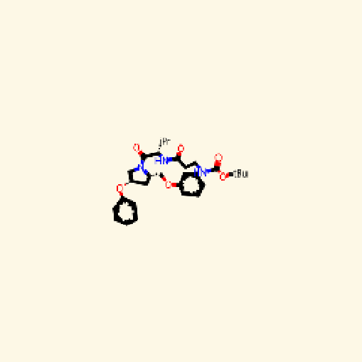 CC(C)[C@H](NC(=O)CCNC(=O)OC(C)(C)C)C(=O)N1C[C@@H](Oc2ccccc2)C[C@H]1COc1ccccc1